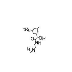 Cc1cc(C(O)C(=O)NCCN)cc(C(C)(C)C)c1